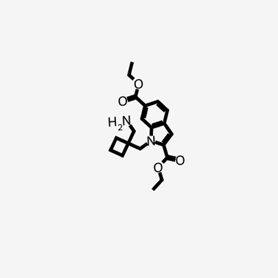 CCOC(=O)c1ccc2cc(C(=O)OCC)n(CC3(CN)CCC3)c2c1